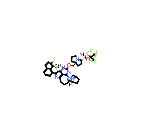 Cc1c(F)ccc2cccc(-c3nc4c5c(nc(OC[C@@]67CCCN6[C@H](COC(C)(C(F)(F)F)C(F)(F)F)CC7)nc5c3F)N3CC5CCC(N5)[C@H]3CCC4)c12